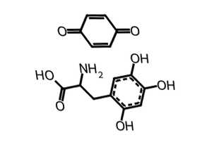 NC(Cc1cc(O)c(O)cc1O)C(=O)O.O=C1C=CC(=O)C=C1